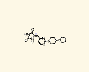 O=C1NC(=O)/C(=C/c2ccnc(N3CCC(N4CCCC4)CC3)n2)N1